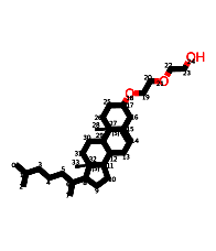 CC(C)CCCC(C)C1CCC2C3CC=C4CC(OCCOCCO)CC[C@@]4(C)C3CC[C@@]12C